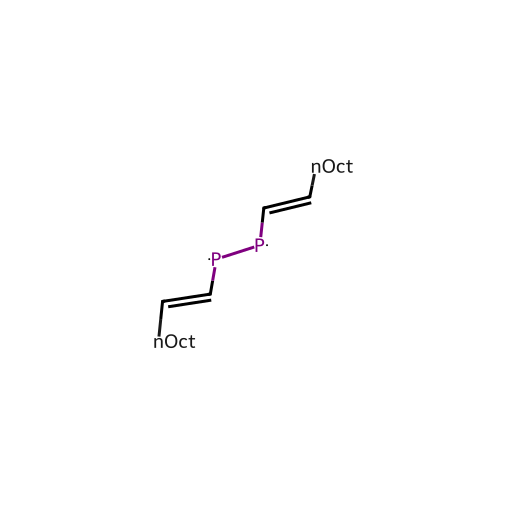 CCCCCCCCC=C[P][P]C=CCCCCCCCC